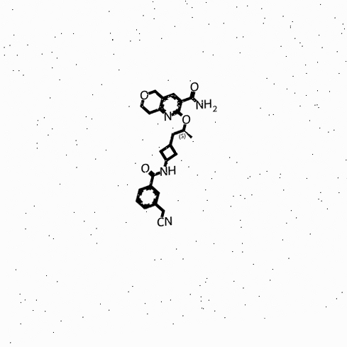 C[C@@H](CC1CC(NC(=O)c2cccc(CC#N)c2)C1)Oc1nc2c(cc1C(N)=O)COCC2